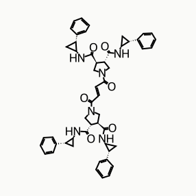 O=C(N[C@H]1C[C@@H]1c1ccccc1)[C@@H]1CN(C(=O)/C=C/C(=O)N2C[C@@H](C(=O)N[C@H]3C[C@@H]3c3ccccc3)[C@H](C(=O)N[C@H]3C[C@@H]3c3ccccc3)C2)C[C@H]1C(=O)N[C@H]1C[C@@H]1c1ccccc1